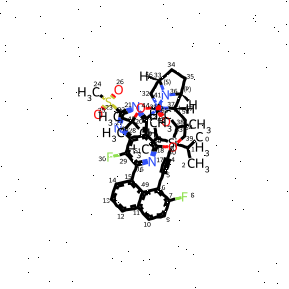 CC(C)[Si](C#Cc1c(F)ccc2cccc(-c3nc4c5c(nc(S(C)(=O)=O)nc5c3F)N3C[C@@H]5CC[C@H]([C@@H]3CCO4)N5C(=O)OC(C)(C)C)c12)(C(C)C)C(C)C